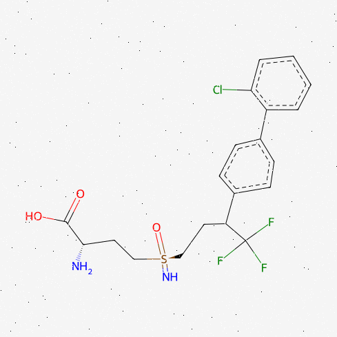 N=[S@](=O)(CCC(c1ccc(-c2ccccc2Cl)cc1)C(F)(F)F)CC[C@H](N)C(=O)O